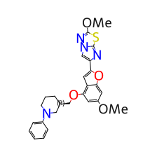 COc1cc(OC[C@@H]2CCCN(c3ccccc3)C2)c2cc(-c3cn4nc(OC)sc4n3)oc2c1